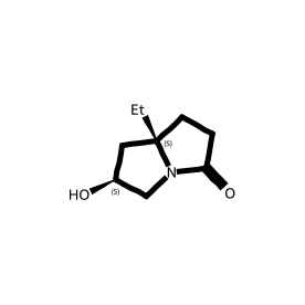 CC[C@@]12CCC(=O)N1C[C@@H](O)C2